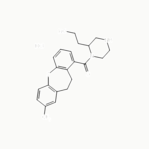 Cl.O=C(c1cccc2c1CCc1cc(C(F)(F)F)ccc1S2)N1CCNCC1CCO